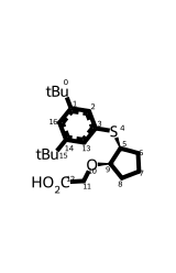 CC(C)(C)c1cc(S[C@H]2CCC[C@H]2OCC(=O)O)cc(C(C)(C)C)c1